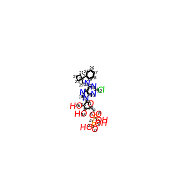 O=P(O)(O)CP(=O)(O)OC[C@H]1O[C@@H](n2cnc3c(N4CC5(CCC5)c5ccccc54)nc(Cl)nc32)C(O)C1O